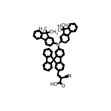 CC1(C)C2=C(CCC(N(c3ccc4c(c3)C(C)(C)c3ccccc3-4)c3ccc4c(c3)C3(c5ccccc5-c5ccccc53)c3cc(/C=C(\C#N)C(=O)O)ccc3-4)=C2)c2ccccc21